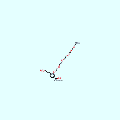 COCCOCCOCCOCCOCCOCCOc1cc(C(=O)OC)ccc1CCCO